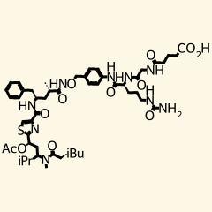 CC[C@H](C)CC(=O)N(C)C(C[C@@H](OC(C)=O)c1nc(C(=O)N[C@@H](Cc2ccccc2)C[C@H](C)C(=O)NOCc2ccc(NC(=O)[C@H](CCCNC(N)=O)NC(=O)CNC(=O)CCCC(=O)O)cc2)cs1)C(C)C